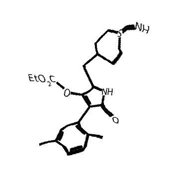 CCOC(=O)OC1=C(c2cc(C)ccc2C)C(=O)NC1CC1CCS(=N)CC1